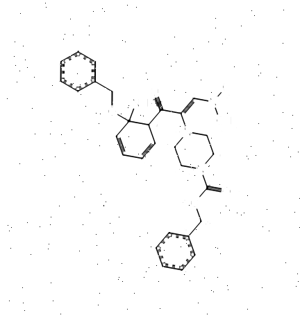 CC(=O)NC1(OCc2ccccc2)C=CC=CC1C(=O)/C(=C/N(C)C)N1CCN(C(=O)OCc2ccccc2)CC1